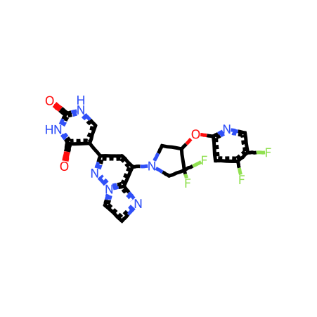 O=c1[nH]cc(-c2cc(N3CC(Oc4cc(F)c(F)cn4)C(F)(F)C3)c3nccn3n2)c(=O)[nH]1